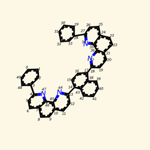 c1ccc(-c2ccc3ccc4ccc(-c5ccc(-c6ccc7ccc8ccc(-c9ccccc9)nc8c7n6)c6ccccc56)nc4c3n2)cc1